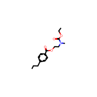 CCCc1ccc(C(=O)OCCN(C)C(=O)OCC)cc1